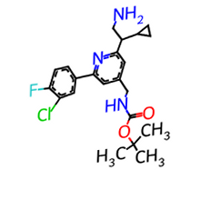 CC(C)(C)OC(=O)NCc1cc(-c2ccc(F)c(Cl)c2)nc(C(CN)C2CC2)c1